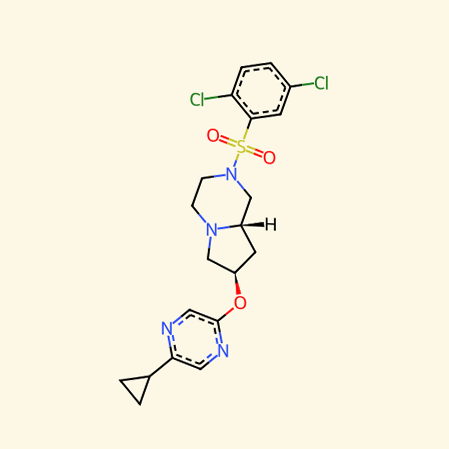 O=S(=O)(c1cc(Cl)ccc1Cl)N1CCN2C[C@H](Oc3cnc(C4CC4)cn3)C[C@H]2C1